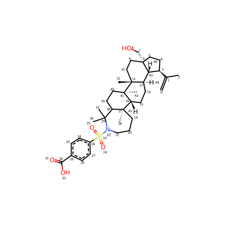 C=C(C)[C@@H]1CC[C@]2(CO)CC[C@]3(C)[C@H](CC[C@@H]4[C@@]5(C)CCCN(S(=O)(=O)c6ccc(C(=O)O)cc6)C(C)(C)C5CC[C@]43C)[C@@H]12